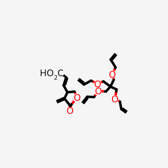 C=C1C(=O)OCC1C=CC(=O)O.C=CCOCC(COCC=C)(COCC=C)COCC=C